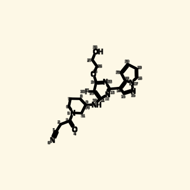 N#CCC(=O)N1CCC[C@@H](Nc2nc(-c3cnn4ccccc34)nc(OCCO)c2F)C1